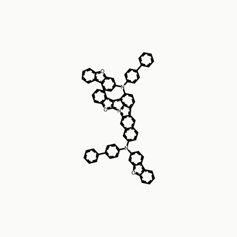 c1ccc(-c2ccc(N(c3ccc4cc5c6ccc(N(c7ccc(-c8ccccc8)cc7)c7ccc8c(c7)oc7ccccc78)c7c8c9ccccc9oc8n(c5cc4c3)c67)c3ccc4c(c3)oc3ccccc34)cc2)cc1